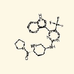 O=C([C@H]1CC[C@H](Nc2ncc(C(F)(F)F)c(-c3c[nH]c4ccccc34)n2)CN1)N1CCCC1